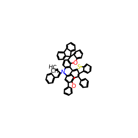 C#C/C(=C\c1ccccc1C)N(c1ccc2oc3ccccc3c2c1)c1ccc2c(c1C1=c3sc4ccccc4c3=C(c3ccccc3)CC1)Oc1ccccc1C21c2ccccc2-c2ccccc21